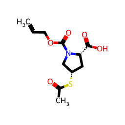 C=CCOC(=O)N1C[C@@H](SC(C)=O)C[C@H]1C(=O)O